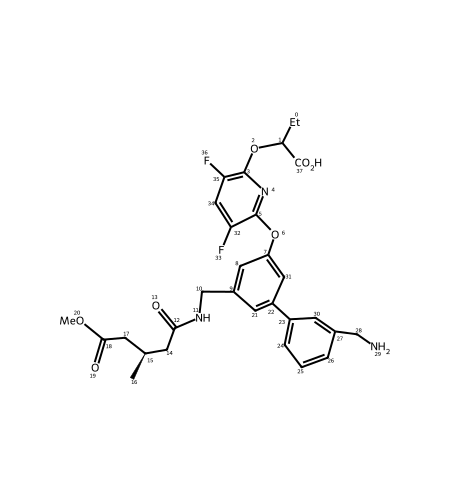 CCC(Oc1nc(Oc2cc(CNC(=O)C[C@@H](C)CC(=O)OC)cc(-c3cccc(CN)c3)c2)c(F)cc1F)C(=O)O